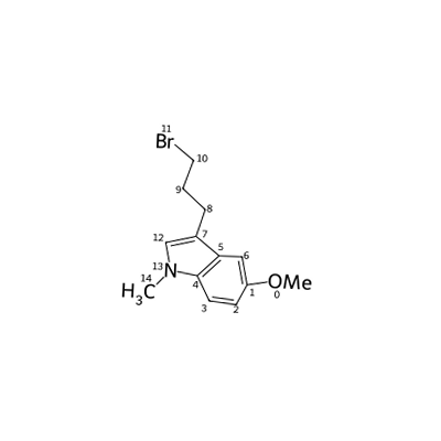 COc1ccc2c(c1)c(CCCBr)cn2C